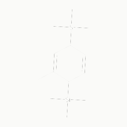 CC1=CC(S(C)(C)C)C=CC1[Si](C)(C)C